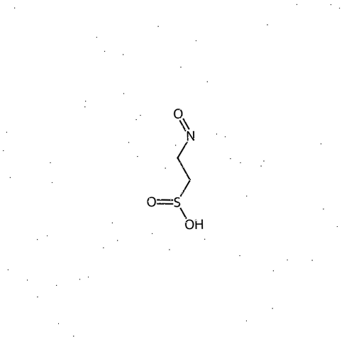 O=NCCS(=O)O